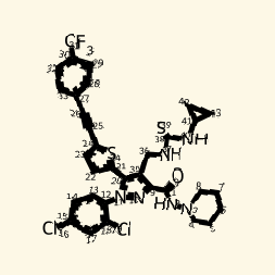 O=C(NN1CCCCC1)c1nn(-c2ccc(Cl)cc2Cl)c(-c2ccc(C#Cc3ccc(C(F)(F)F)cc3)s2)c1CNC(=S)NC1CC1